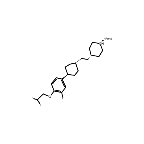 CCCCC[Si@H]1CC[C@H](CC[C@H]2CC[C@H](c3ccc(OCC(F)F)c(F)c3)CC2)CC1